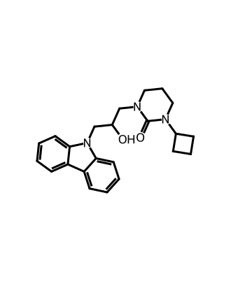 O=C1N(CC(O)Cn2c3ccccc3c3ccccc32)CCCN1C1CCC1